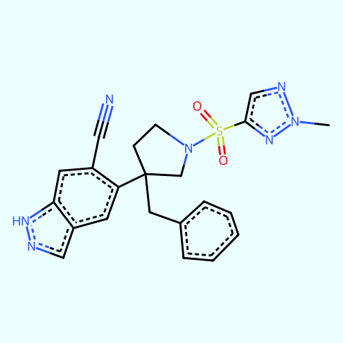 Cn1ncc(S(=O)(=O)N2CCC(Cc3ccccc3)(c3cc4cn[nH]c4cc3C#N)C2)n1